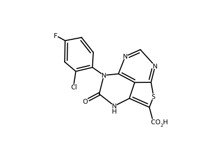 O=C(O)c1sc2ncnc3c2c1NC(=O)N3c1ccc(F)cc1Cl